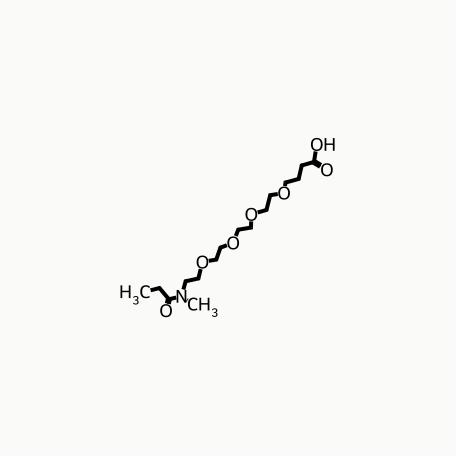 CCC(=O)N(C)CCOCCOCCOCCOCCCC(=O)O